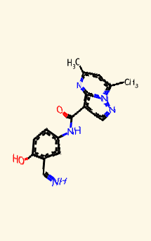 Cc1cc(C)n2ncc(C(=O)Nc3ccc(O)c(C=N)c3)c2n1